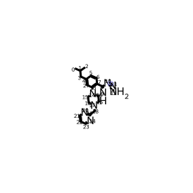 CC(C)Cc1ccc(C(=N)/N=N\N)c(N2CCN(Cc3ncccn3)CC2)c1